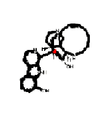 Oc1cccc2c1[nH]c1c(C3=C[C@@]4(O)CC/C=C\CCCCN5CC[C@@H]3[C@]3(CC/C=C\CCCCN[C@H]34)C5)nccc12